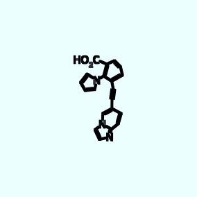 O=C(O)c1cccc(C#Cc2ccc3nccn3c2)c1-n1cccc1